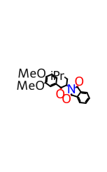 COc1ccc(C(=O)C(CC(C)C)N2C(=O)c3ccccc3C2=O)cc1OC